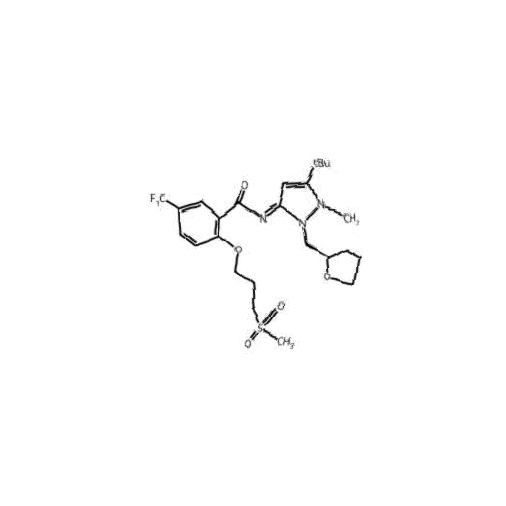 Cn1c(C(C)(C)C)c/c(=N\C(=O)c2cc(C(F)(F)F)ccc2OCCCS(C)(=O)=O)n1C[C@H]1CCCO1